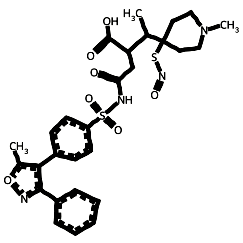 Cc1onc(-c2ccccc2)c1-c1ccc(S(=O)(=O)NC(=O)CC(C(=O)O)C(C)C2(SN=O)CCN(C)CC2)cc1